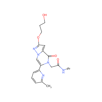 Cc1cccc(-c2cn3nc(OCCCO)cc3c(=O)n2CC(=O)NC(C)C)n1